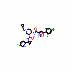 O=C(N[C@@H]1CCN(CC2CC2)C[C@H]1C(=O)NC1(c2ccc(F)cn2)CC1)c1cc(-c2c(F)cc(F)cc2F)on1